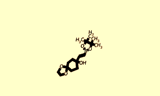 CC1(C)OB(/C=C/C2(O)CCC3(CC2)OCCO3)OC1(C)C